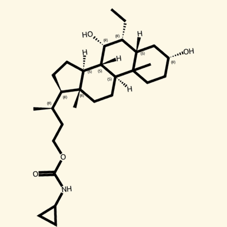 CC[C@H]1[C@@H](O)[C@@H]2[C@H](CC[C@]3(C)[C@@H]([C@H](C)CCOC(=O)NC4CC4)CC[C@@H]23)C2(C)CC[C@@H](O)C[C@@H]12